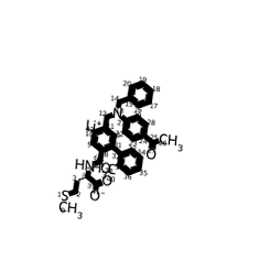 CSCC[C@H](NC(=O)c1ccc(CN(Cc2ccccc2)c2ccc(C(C)=O)cc2)cc1-c1ccccc1C)C(=O)[O-].[Li+]